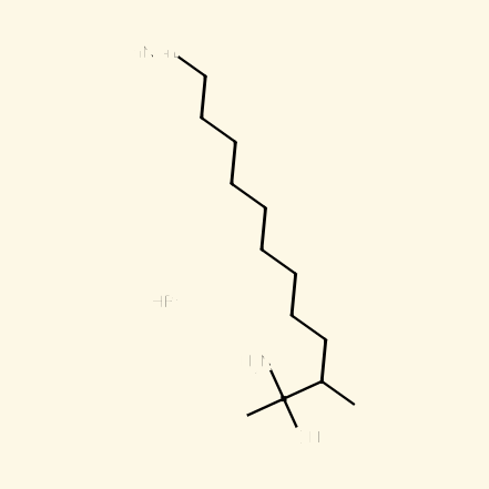 Br.CCCCCCCCCCCCCCCCCCC(C)C(C)(N)O